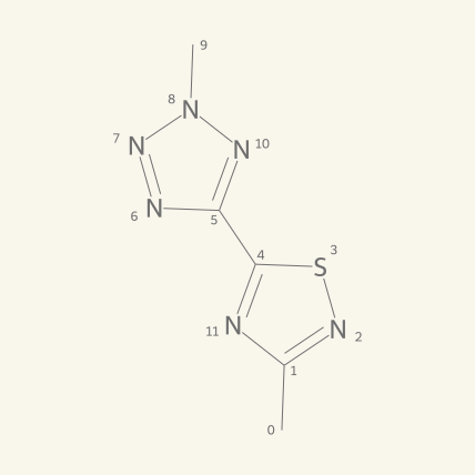 Cc1nsc(-c2nnn(C)n2)n1